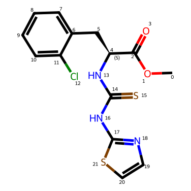 COC(=O)[C@H](Cc1ccccc1Cl)NC(=S)Nc1nccs1